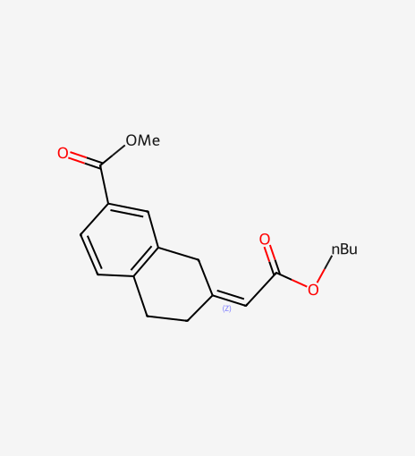 CCCCOC(=O)/C=C1/CCc2ccc(C(=O)OC)cc2C1